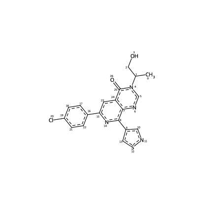 CC(CO)n1cnc2c(-c3cnsc3)nc(-c3ccc(Cl)cc3)cc2c1=O